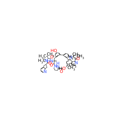 CCn1c(-c2cccnc2[C@H](C)OC)c2c3cc(ccc31)-c1cc(O)cc(c1)C[C@H](NC(=O)C(C(C)C)N(C)C(=O)C1Cc3cccnc3C1)C(=O)N1CCC[C@H](N1)C(=O)OCC(C)(C)C2